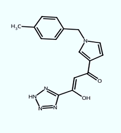 Cc1ccc(Cn2ccc(C(=O)C=C(O)c3nn[nH]n3)c2)cc1